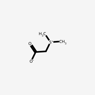 C[S+](C)CC(=O)[O-]